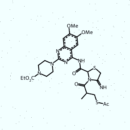 CCOC(=O)N1CCN(c2nc(NC(=O)C3SCC(=N)N3C(=O)C(C)CSC(C)=O)c3cc(OC)c(OC)cc3n2)CC1